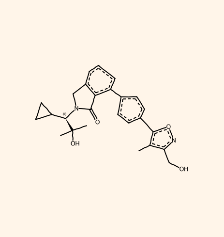 Cc1c(CO)noc1-c1ccc(-c2cccc3c2C(=O)N([C@H](C2CC2)C(C)(C)O)C3)cc1